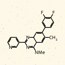 CNC1=NC(c2cccnc2)=NC2C=C(c3ccc(F)c(F)c3)C(C)=CC12